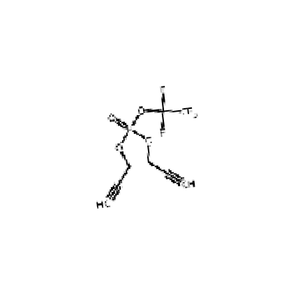 C#CCOP(=O)(OCC#C)OC(F)(F)C(F)(F)F